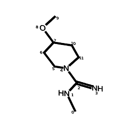 CNC(=N)N1CCC(OC)CC1